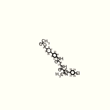 CC(=O)OCC1CCC(c2ccc(NC(=O)CCNC(=O)c3sc(-c4ccc(Cl)cc4)nc3C)cc2)CC1